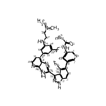 CCCCC(=O)Nc1cncc(-c2ccc3[nH]nc(-c4nc5c(-c6cc(F)cc(NCCN(C)C)c6)ccnc5[nH]4)c3c2F)c1